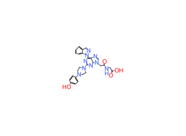 O=C(O)CNC(=O)Cn1cnc2c(-n3ncc4ccccc43)nc(N3CCN(c4ccc(O)cc4)CC3)nc21